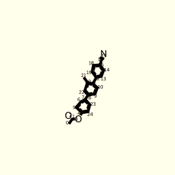 CC(=O)Oc1ccc(-c2ccc(-c3ccc(C#N)cc3)c(C)c2)cc1